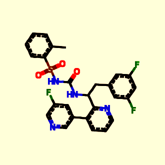 Cc1ccccc1S(=O)(=O)NC(=O)NC(Cc1cc(F)cc(F)c1)c1ncccc1-c1cncc(F)c1